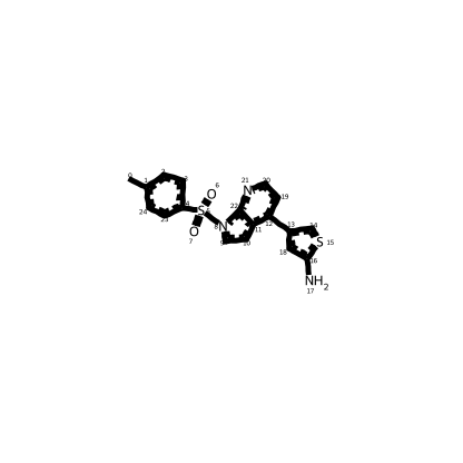 Cc1ccc(S(=O)(=O)n2ccc3c(-c4csc(N)c4)ccnc32)cc1